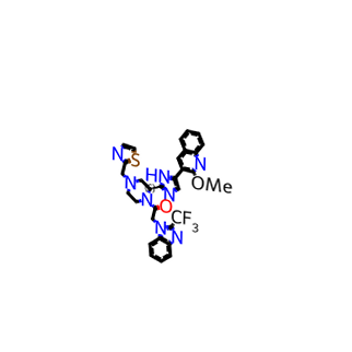 COc1nc2ccccc2cc1-c1cnc([C@@H]2CN(Cc3nccs3)CCN2C(=O)Cn2c(C(F)(F)F)nc3ccccc32)[nH]1